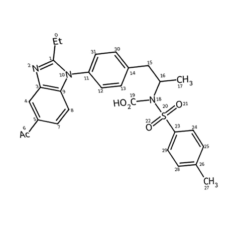 CCc1nc2cc(C(C)=O)ccc2n1-c1ccc(CC(C)N(C(=O)O)S(=O)(=O)c2ccc(C)cc2)cc1